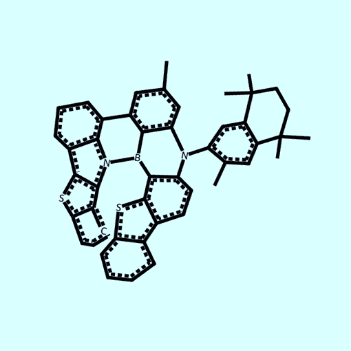 Cc1cc2c3c(c1)N(c1cc4c(cc1C)C(C)(C)CCC4(C)C)c1ccc4c(sc5ccccc54)c1B3n1c3c-2cccc3c2sc3ccccc3c21